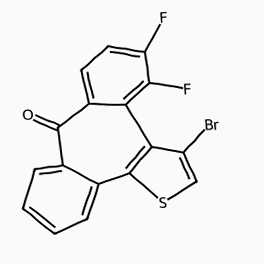 O=c1c2ccccc2c2scc(Br)c2c2c(F)c(F)ccc12